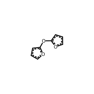 c1coc(Oc2ccco2)c1